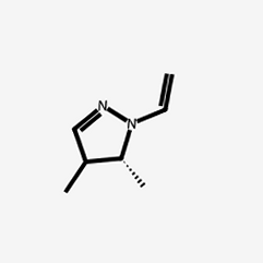 C=CN1N=CC(C)[C@H]1C